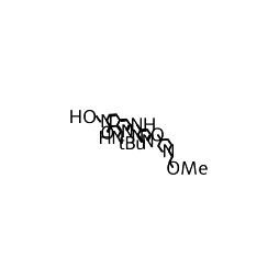 COCCN1CCC(Oc2cc(Nc3cc4ccn(CCO)c(=O)c4c(NC(C)(C)C)n3)ncn2)CC1